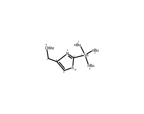 CCC[CH2][Sn]([CH2]CCC)([CH2]CCC)[c]1nc(COC)cs1